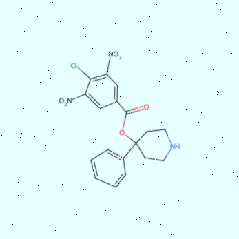 O=C(OC1(c2ccccc2)CCNCC1)c1cc([N+](=O)[O-])c(Cl)c([N+](=O)[O-])c1